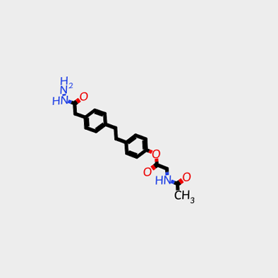 CC(=O)NCC(=O)Oc1ccc(CCc2ccc(CC(=O)NN)cc2)cc1